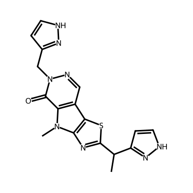 CC(c1cc[nH]n1)c1nc2c(s1)c1cnn(Cc3cc[nH]n3)c(=O)c1n2C